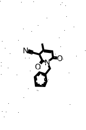 CC1=CC(=O)N(Cc2ccccc2)C(=O)C1C#N